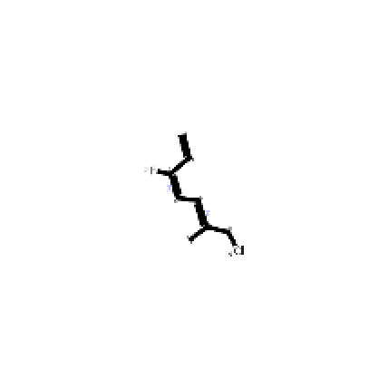 C=C/C(F)=C\C=C(/C)CCl